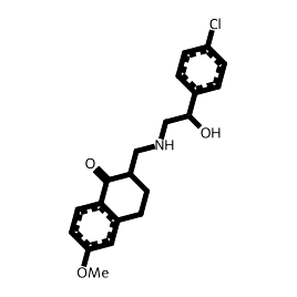 COc1ccc2c(c1)CCC(CNCC(O)c1ccc(Cl)cc1)C2=O